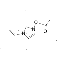 C=CN1C=CN(OC(C)=O)C1